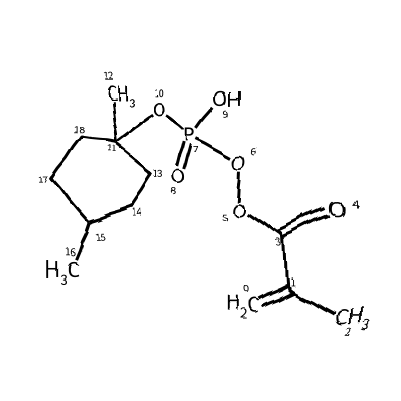 C=C(C)C(=O)OOP(=O)(O)OC1(C)CCC(C)CC1